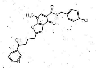 Cn1cc(C(=O)NCc2ccc(Cl)cc2)c(=O)c2cc(CCCC(O)c3cccnc3)oc21